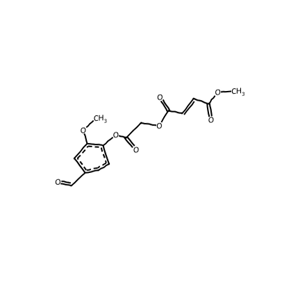 COC(=O)C=CC(=O)OCC(=O)Oc1ccc(C=O)cc1OC